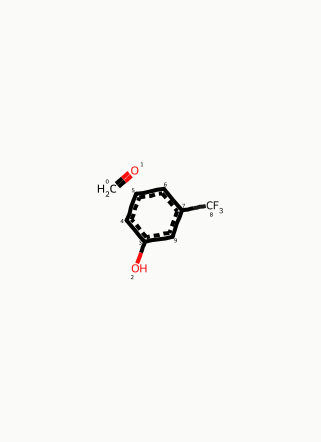 C=O.Oc1cccc(C(F)(F)F)c1